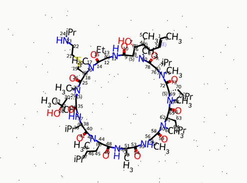 C/C=C/C[C@@H](C)[C@@H](O)[C@H]1C(=O)N[C@@H](CC)C(=O)N(C)[C@H](CSCCNC(C)C)C(=O)N(C)[C@@H](CC(C)(C)O)C(=O)N[C@H](C(C)C)C(=O)N(C)[C@H](CCC(C)C)C(=O)N[C@H](C)C(=O)N[C@@H](C)C(=O)N(C)[C@H](CC(C)C)C(=O)N(C)[C@@H](CC(C)C)C(=O)N(C)[C@@H](C(C)C)C(=O)N1C